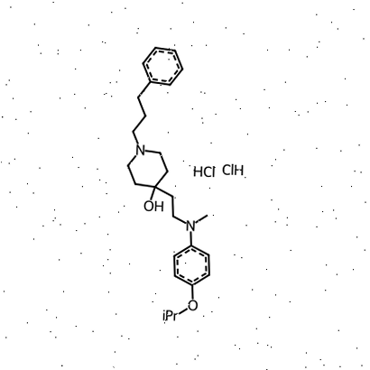 CC(C)Oc1ccc(N(C)CCC2(O)CCN(CCCc3ccccc3)CC2)cc1.Cl.Cl